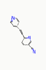 N#Cc1ccc(C#Cc2ccncc2)nc1